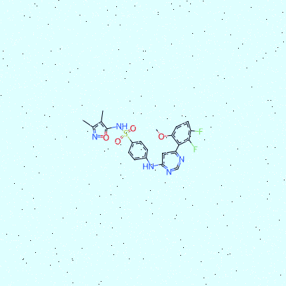 COc1ccc(F)c(F)c1-c1cc(Nc2ccc(S(=O)(=O)Nc3onc(C)c3C)cc2)ncn1